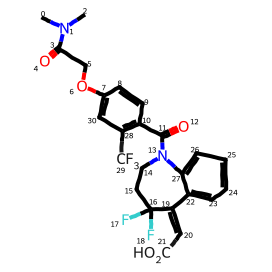 CN(C)C(=O)COc1ccc(C(=O)N2CCC(F)(F)C(=CC(=O)O)c3ccccc32)c(C(F)(F)F)c1